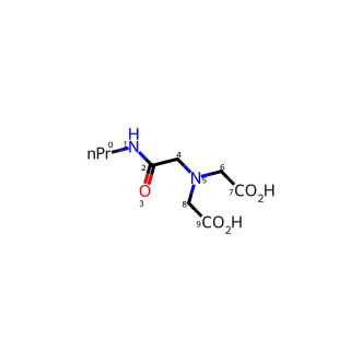 [CH2]CCNC(=O)CN(CC(=O)O)CC(=O)O